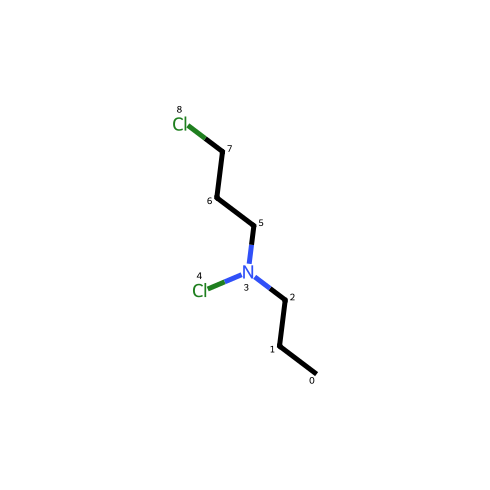 CCCN(Cl)CCCCl